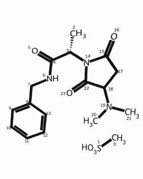 CS(=O)(=O)O.C[C@@H](C(=O)NCc1ccccc1)N1C(=O)CC(N(C)C)C1=O